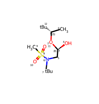 C[C@H](O[C@@H](O)CN(C(C)(C)C)S(C)(=O)=O)C(C)(C)C